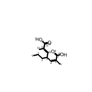 CCCC(C=C(C)C(=O)O)C=C(C)C(=O)O